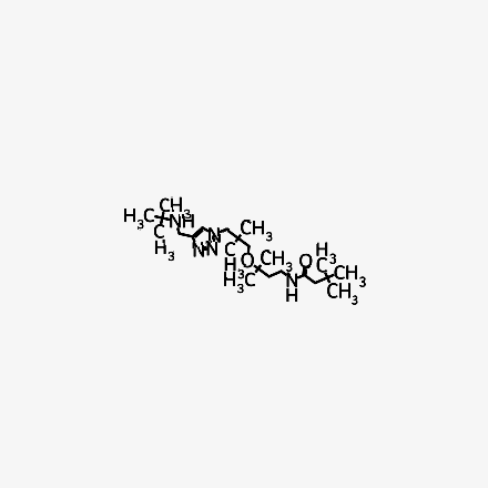 CC(C)(C)CC(=O)NCCC(C)(C)OCC(C)(C)Cn1cc(CNC(C)(C)C)nn1